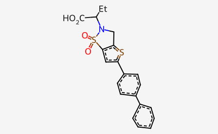 CCC(C(=O)O)N1Cc2sc(-c3ccc(-c4ccccc4)cc3)cc2S1(=O)=O